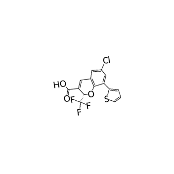 O=C(O)C1=Cc2cc(Cl)cc(-c3cccs3)c2O[C@@H]1C(F)(F)F